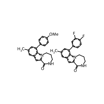 COc1ccc(-c2cc(C)cc3cc4n(c23)CCCNC4=O)cc1.Cc1cc(-c2ccc(F)c(F)c2)c2c(c1)cc1n2CCCNC1=O